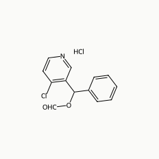 Cl.O=COC(c1ccccc1)c1cnccc1Cl